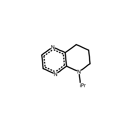 CC(C)N1CCCc2nccnc21